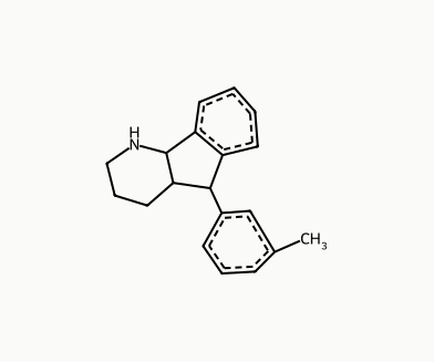 Cc1cccc(C2c3ccccc3C3NCCCC32)c1